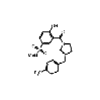 CNS(=O)(=O)c1ccc(O)c(C(=O)N2CCC(CC3=CC=C(C(F)(F)F)CC3)C2)c1